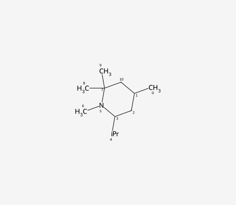 CC1CC(C(C)C)N(C)C(C)(C)C1